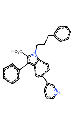 O=C(O)c1c(-c2ccccc2)c2cc(-c3cccnc3)ccc2n1CCCc1ccccc1